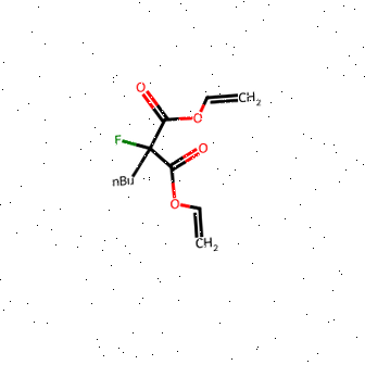 C=COC(=O)C(F)(CCCC)C(=O)OC=C